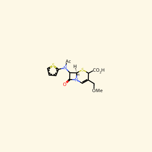 COCC1=CN2C(=O)C(N(C(C)=O)c3cccs3)[C@H]2SC1C(=O)O